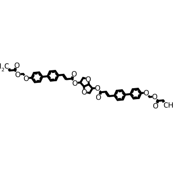 C=CC(=O)OCOc1ccc(-c2ccc(/C=C/C(=O)OC3COC4C(OC(=O)/C=C/c5ccc(-c6ccc(OCOC(=O)C=C)cc6)cc5)COC34)cc2)cc1